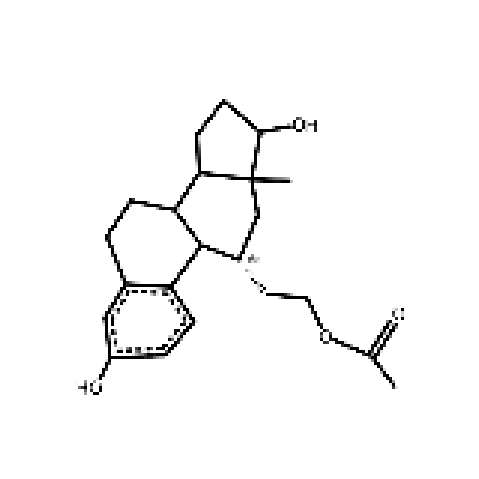 CC(=O)OCC[C@H]1CC2(C)C(O)CCC2C2CCc3cc(O)ccc3C21